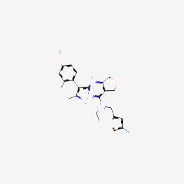 CCN(Cc1cc(C)cs1)c1c2c(nc3c(-c4ccc(OC)cc4Cl)c(C)nn13)COC2